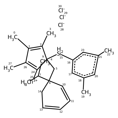 CC1=C(C)C(CC2(C(C)C)C=CC=CC2)([SiH2]c2cc(C)cc(C)c2)[C]([Ti+3])=C1C.[Cl-].[Cl-].[Cl-]